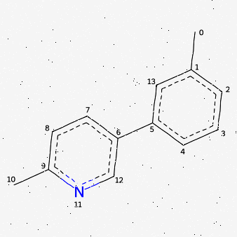 Cc1cccc(-c2ccc(C)nc2)c1